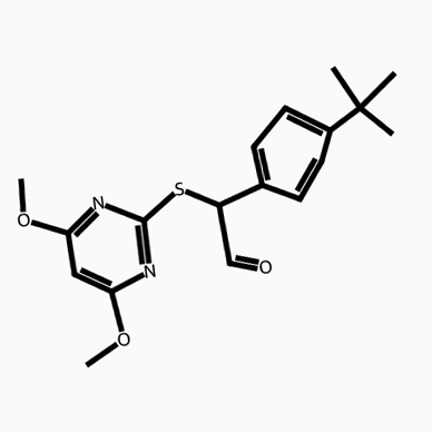 COc1cc(OC)nc(SC(C=O)c2ccc(C(C)(C)C)cc2)n1